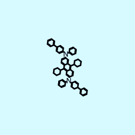 C1=CC(c2ccccc2)CC=C1N(c1ccccc1)c1ccc2c(C3CCCCC3)c3cc(N(c4ccccc4)c4ccc(-c5ccccc5)cc4)ccc3c(C3CCCCC3)c2c1